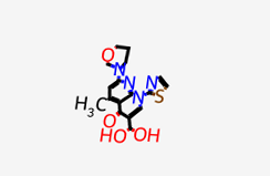 Cc1cc(N2CCCOC2)nc2c1c(=O)c(C(O)O)cn2-c1nccs1